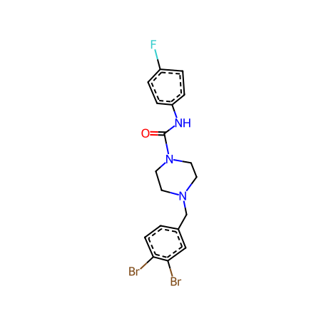 O=C(Nc1ccc(F)cc1)N1CCN(Cc2ccc(Br)c(Br)c2)CC1